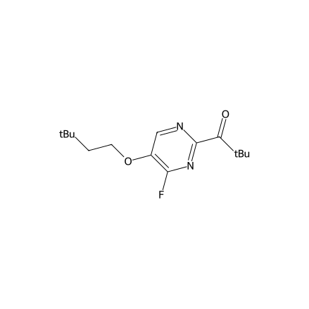 CC(C)(C)CCOc1cnc(C(=O)C(C)(C)C)nc1F